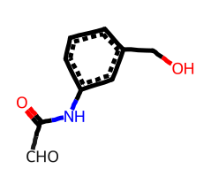 O=CC(=O)Nc1cccc(CO)c1